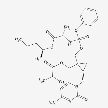 CCC[C@H](C)OC(=O)[C@H](C)NP(=O)(OCC1(COC(=O)C(C)C)C/C1=C/n1ccc(N)nc1=O)Oc1ccccc1